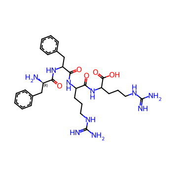 N=C(N)NCCCC(NC(=O)C(CCCNC(=N)N)NC(=O)C(Cc1ccccc1)NC(=O)[C@H](N)Cc1ccccc1)C(=O)O